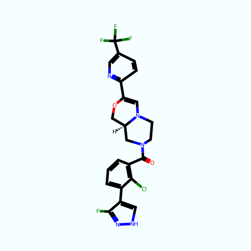 O=C(c1cccc(-c2c[nH]nc2F)c1Cl)N1CCN2C=C(c3ccc(C(F)(F)F)cn3)OC[C@@H]2C1